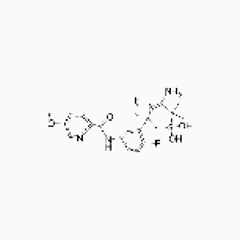 COc1ccc(C(=O)Nc2ccc(F)c([C@]3(CF)CS(O)(O)C(C)(C)C(N)=N3)c2)nc1